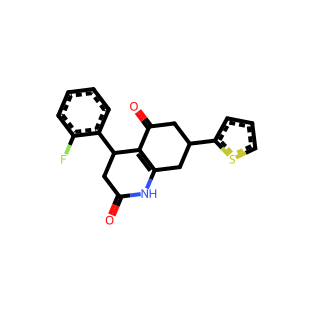 O=C1CC(c2ccccc2F)C2=C(CC(c3cccs3)CC2=O)N1